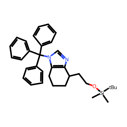 CC(C)(C)[Si](C)(C)OCCC1CCCc2c1ncn2C(c1ccccc1)(c1ccccc1)c1ccccc1